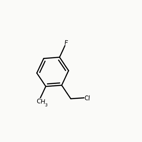 Cc1ccc(F)cc1CCl